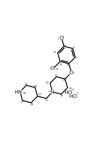 Cl.Cl.Clc1ccc(OC2CCN(CC3CCNCC3)CC2)c(Cl)c1